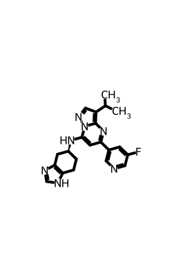 CC(C)c1cnn2c(N[C@H]3CCc4[nH]cnc4C3)cc(-c3cncc(F)c3)nc12